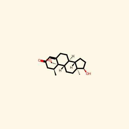 C[C@H]1CC(=O)C=C2CC[C@H]3[C@@H]4CC[C@@H](O)[C@@]4(C)CC[C@@H]3[C@]21CO